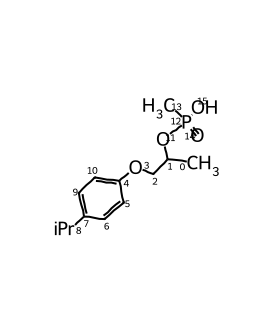 CC(COc1ccc(C(C)C)cc1)OP(C)(=O)O